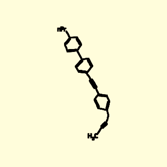 CC#CCc1ccc(C#Cc2ccc(-c3ccc(CCC)cc3)cc2)cc1